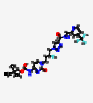 CC(C)(C)COC(=O)Nc1ccn(CCC(F)Cn2cc(C(=O)NCc3cc(C(F)(F)F)ccn3)nn2)c(=O)n1